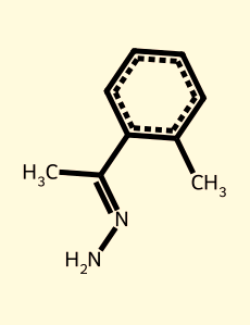 CC(=NN)c1ccccc1C